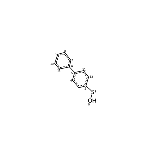 OSc1ccc(-c2ccccc2)cc1